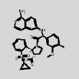 COc1cc(C(Nc2ccc3c(N)nccc3c2)C(=O)N2CC[C@H](C(=O)O)[C@H]2c2ccccc2S(=O)(=O)C2CC2)ccc1F